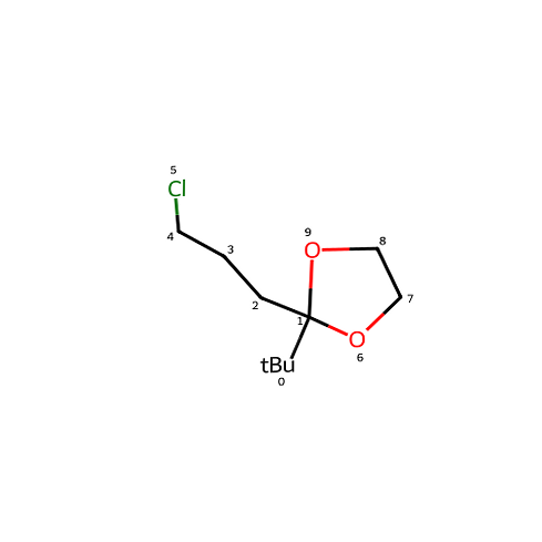 CC(C)(C)C1(CCCCl)OCCO1